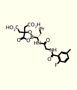 Cc1ccc(F)c(C(=O)NCC(=O)N[C@@H](CC(C)C)B2OC(=O)C(CC(=O)O)(CC(=O)O)O2)c1